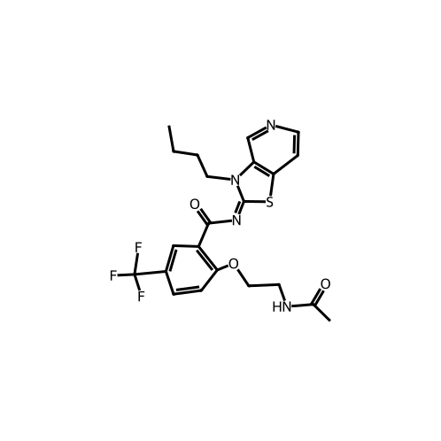 CCCCn1c(=NC(=O)c2cc(C(F)(F)F)ccc2OCCNC(C)=O)sc2ccncc21